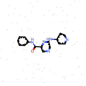 O=C(Nc1ccccc1)c1cncc(Nc2ccncc2)n1